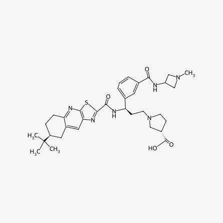 CN1CC(NC(=O)c2cccc([C@@H](CCN3CC[C@H](C(=O)O)C3)NC(=O)c3nc4cc5c(nc4s3)CC[C@H](C(C)(C)C)C5)c2)C1